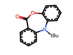 CC(C)(C)N1c2ccccc2OC(=O)c2ccccc21